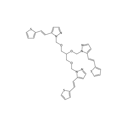 C(=C\c1ccnn1COCC(COCn1nccc1/C=C/c1cccs1)OCn1nccc1/C=C/c1cccs1)/c1cccs1